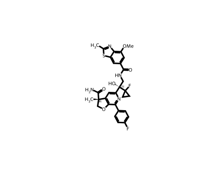 COc1cc(C(=O)NC[C@](O)(c2cc3c(c(-c4ccc(F)cc4)n2)OC[C@]3(C)C(N)=O)C2(F)CC2)cc2sc(C)nc12